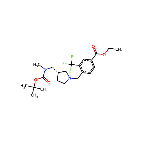 CCOC(=O)c1ccc(CN2CC[C@H](CN(C)C(=O)OC(C)(C)C)C2)c(C(F)(F)F)c1